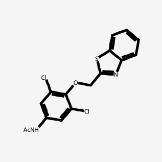 CC(=O)Nc1cc(Cl)c(OCc2nc3ccccc3s2)c(Cl)c1